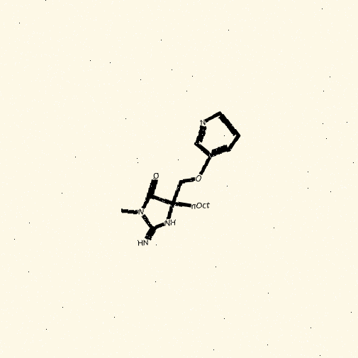 CCCCCCCCC1(COc2cccnc2)NC(=N)N(C)C1=O